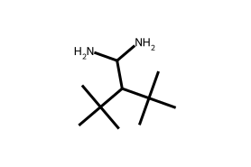 CC(C)(C)C(C(N)N)C(C)(C)C